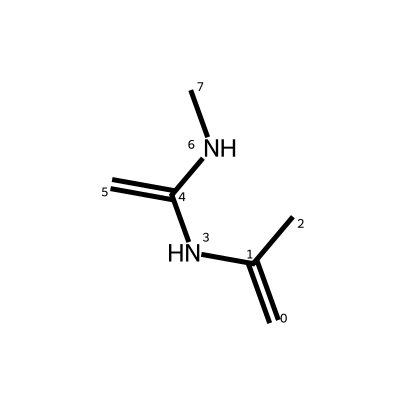 C=C(C)NC(=C)NC